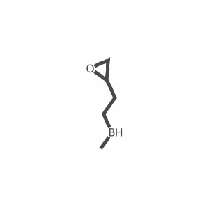 CBCCC1CO1